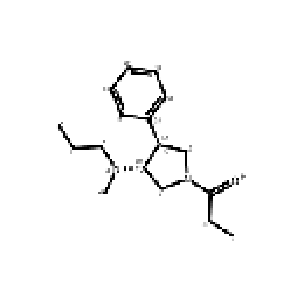 CCCN(C)[C@H]1CN(C(=O)CC)C[C@@H]1c1ccccc1